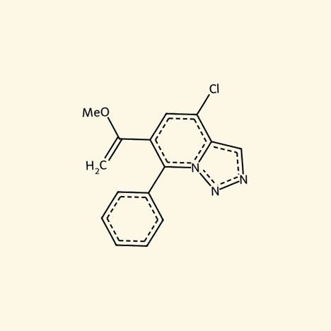 C=C(OC)c1cc(Cl)c2cnnn2c1-c1ccccc1